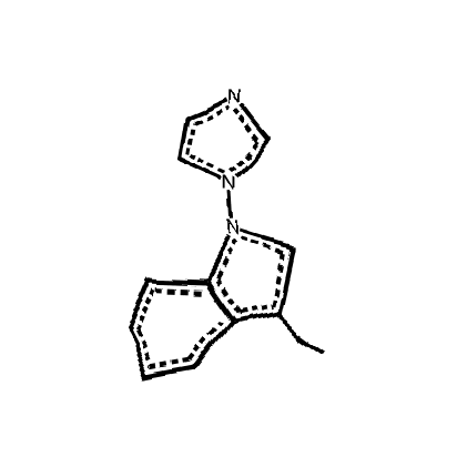 Cc1cn(-n2ccnc2)c2ccccc12